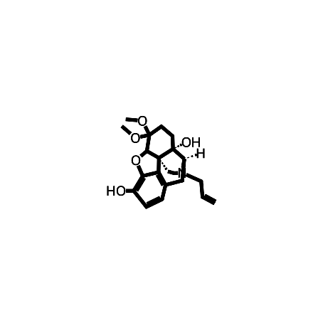 C=CCN1CC[C@]23c4c5ccc(O)c4OC2C(OC)(OC)CC[C@@]3(O)[C@H]1C5